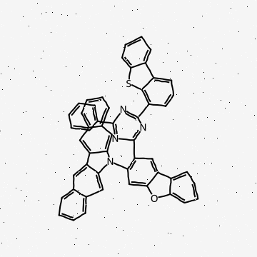 c1ccc(-c2nc(-c3cc4c(cc3-n3c5cc6ccccc6cc5c5cc6ccccc6cc53)oc3ccccc34)nc(-c3cccc4c3sc3ccccc34)n2)cc1